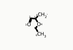 [CH2]C(C=O)OCC